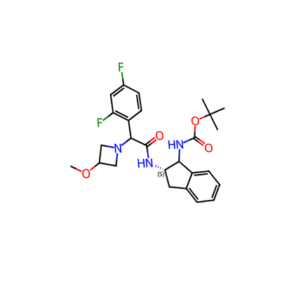 COC1CN(C(C(=O)N[C@H]2Cc3ccccc3C2NC(=O)OC(C)(C)C)c2ccc(F)cc2F)C1